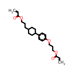 C=CC(=O)OCCCOc1ccc(C2CCC(CCCOC(=O)C=C)CC2)cc1